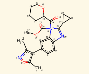 Cc1noc(C)c1-c1ccc2c(c1)[N+](C(=O)OC(C)(C)C)(C(=O)C1CCCCO1)C(C1CC1)=N2